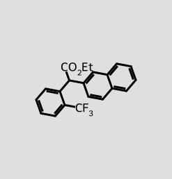 CCOC(=O)C(c1ccc2ccccc2c1)c1ccccc1C(F)(F)F